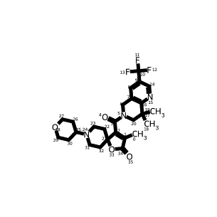 CC1=C(C(=O)N2Cc3cc(C(F)(F)F)cnc3C(C)(C)C2)C2(CCN(C3CCOCC3)CC2)OC1=O